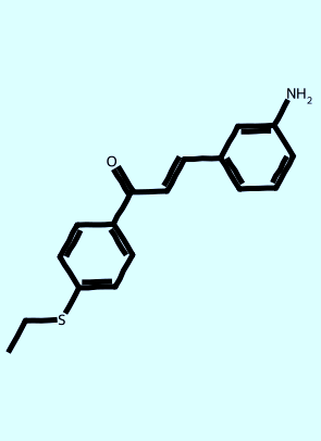 CCSc1ccc(C(=O)/C=C/c2cccc(N)c2)cc1